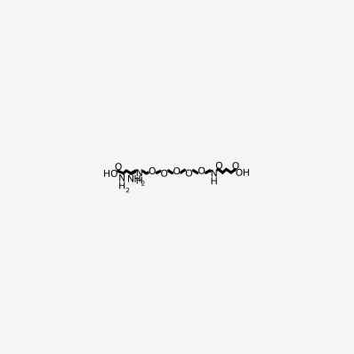 N/C(=C\NCCOCCOCCOCCOCCOCCNC(=O)CCCC(=O)O)C[C@H](N)C(=O)O